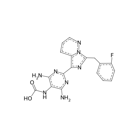 Nc1nc(-c2nc(Cc3ccccc3F)n3ncccc23)nc(N)c1NC(=O)O